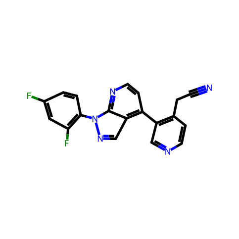 N#CCc1ccncc1-c1ccnc2c1cnn2-c1ccc(F)cc1F